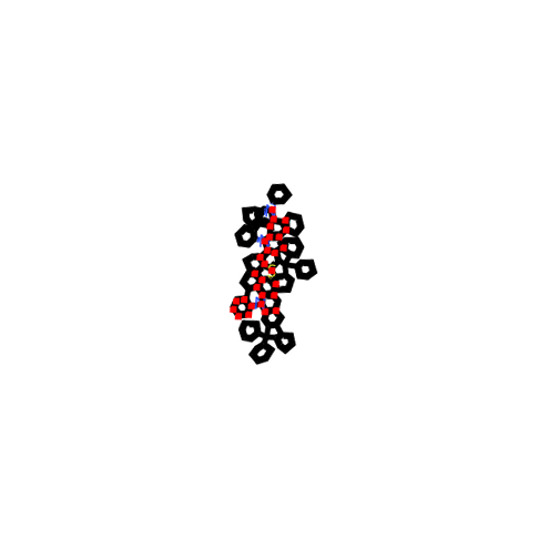 c1ccc(-c2ccccc2-c2ccccc2-c2ccccc2N(c2ccc3c(c2)C(c2ccccc2)(c2ccccc2)c2ccccc2-3)c2ccc3sc4c(-c5ccc(-c6ccccc6)c(-c6ccccc6-c6ccccc6N(c6ccc7c(c6)C(c6ccccc6)(c6ccccc6)c6ccccc6-7)c6cccc7c6c6ccccc6n7-c6ccccc6)c5)cccc4c3c2)cc1